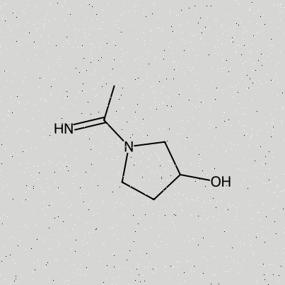 CC(=N)N1CCC(O)C1